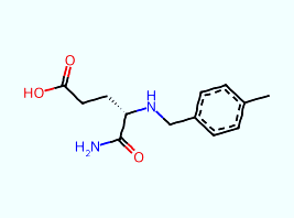 Cc1ccc(CN[C@@H](CCC(=O)O)C(N)=O)cc1